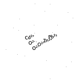 [Cd+2].[O-2].[O-2].[O-2].[Pb+2].[Zn+2]